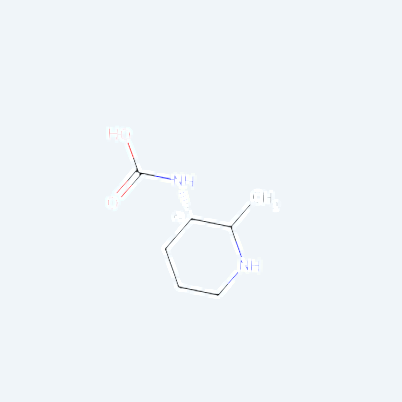 CC1NCCC[C@@H]1NC(=O)O